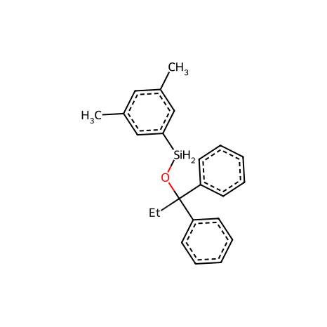 CCC(O[SiH2]c1cc(C)cc(C)c1)(c1ccccc1)c1ccccc1